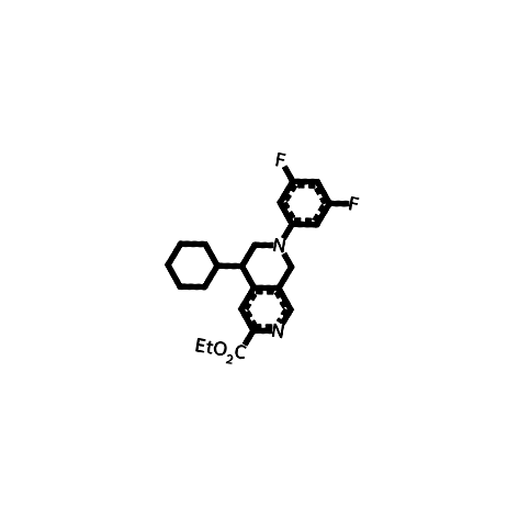 CCOC(=O)c1cc2c(cn1)CN(c1cc(F)cc(F)c1)CC2C1CCCCC1